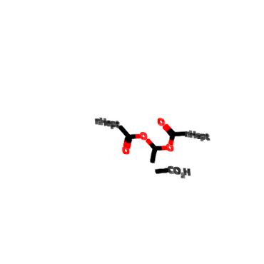 CC(=O)O.CCCCCCCC(=O)OC(C)OC(=O)CCCCCCC